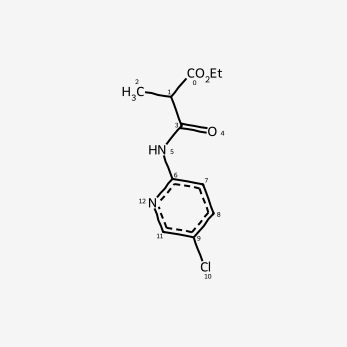 CCOC(=O)C(C)C(=O)Nc1ccc(Cl)cn1